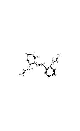 O=CNc1ccccc1/N=N/c1ccccc1NC=O